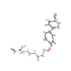 C=CC(=O)OCCCC(C)CCOc1ccc(-c2ccc(C#N)cc2)cc1